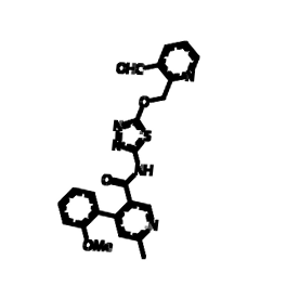 COc1ccccc1-c1cc(C)ncc1C(=O)Nc1nnc(OCc2ncccc2C=O)s1